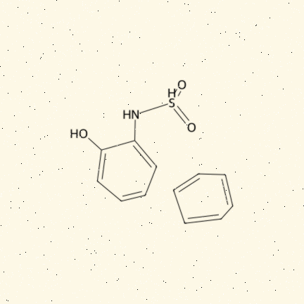 O=[SH](=O)Nc1ccccc1O.c1ccccc1